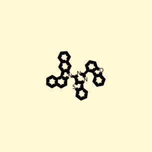 c1ccc2cc3c(cc2c1)c1c2ccccc2ccc1n3-c1nc(-c2cccc3oc4ccccc4c23)nc2c1sc1ccccc12